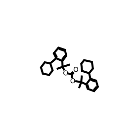 CC(C)(OC(=O)OC(C)(C)c1ccccc1C1CCCCC1)c1ccccc1C1CCCCC1